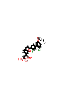 COc1ccc(Cl)c(-c2ccc(C3CCc4ccc([C@H](O)CC(=O)O)cc4O3)c(F)c2)c1